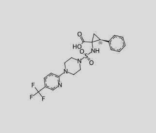 O=C(O)C1(NS(=O)(=O)N2CCN(c3ccc(C(F)(F)F)cn3)CC2)C[C@H]1c1ccccc1